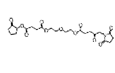 O=C(CCC(=O)OCCOCCOC(=O)CCC(=O)OC1CCCC1=O)CN1C(=O)CCC1=O